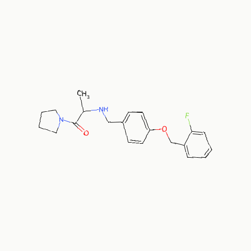 CC(NCc1ccc(OCc2ccccc2F)cc1)C(=O)N1CCCC1